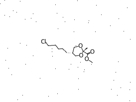 COC(=O)[C@]1(C)OC[C@H](CCCCCCl)CO1